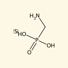 NCP(=O)(O)O.[Si]